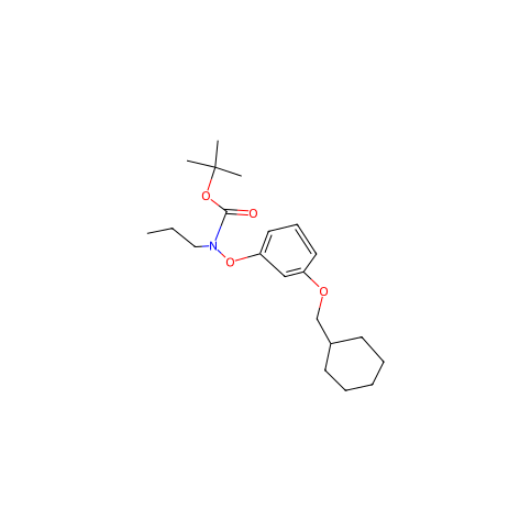 CCCN(Oc1cccc(OCC2CCCCC2)c1)C(=O)OC(C)(C)C